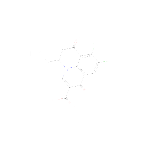 CCC1CC(=O)c2c(Cl)c(Cl)cc3c(=O)c(C(=O)O)cn1c23